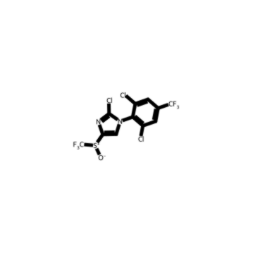 [O-][S+](c1cn(-c2c(Cl)cc(C(F)(F)F)cc2Cl)c(Cl)n1)C(F)(F)F